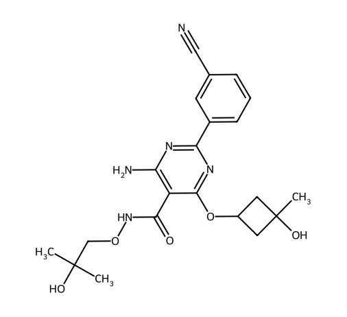 CC(C)(O)CONC(=O)c1c(N)nc(-c2cccc(C#N)c2)nc1OC1CC(C)(O)C1